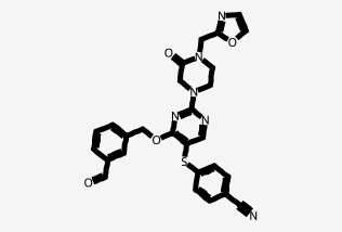 N#Cc1ccc(Sc2cnc(N3CCN(Cc4ncco4)C(=O)C3)nc2OCc2cccc(C=O)c2)cc1